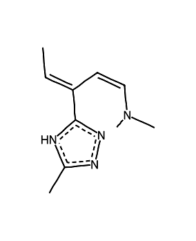 C/C=C(\C=C/N(C)C)c1nnc(C)[nH]1